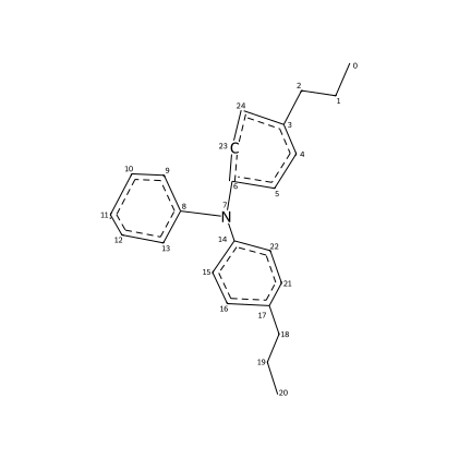 CCCc1ccc(N(c2cc[c]cc2)c2ccc(CCC)cc2)cc1